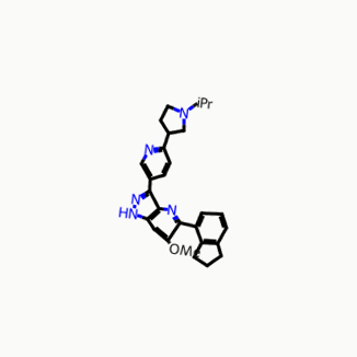 COc1cc2[nH]nc(-c3ccc(C4CCN(C(C)C)C4)nc3)c2nc1-c1cccc2c1CCC2